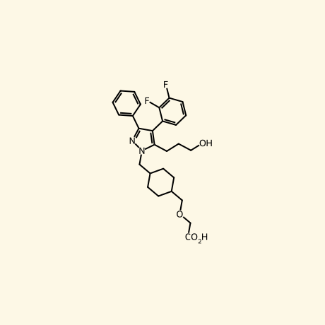 O=C(O)COCC1CCC(Cn2nc(-c3ccccc3)c(-c3cccc(F)c3F)c2CCCO)CC1